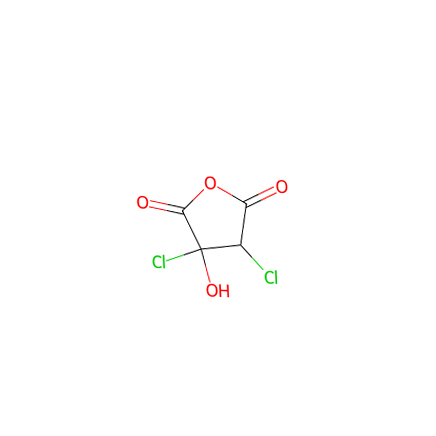 O=C1OC(=O)C(O)(Cl)C1Cl